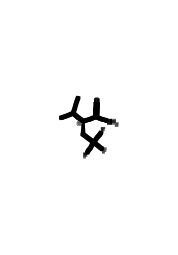 CC(C)[C@H](CC(F)(F)F)C(N)=O